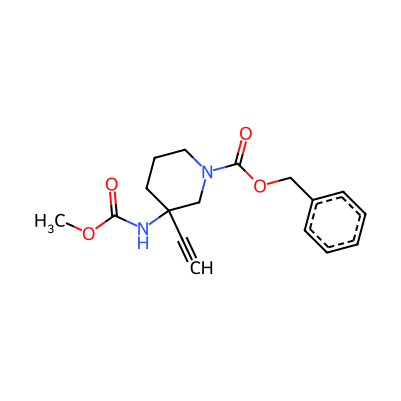 C#CC1(NC(=O)OC)CCCN(C(=O)OCc2ccccc2)C1